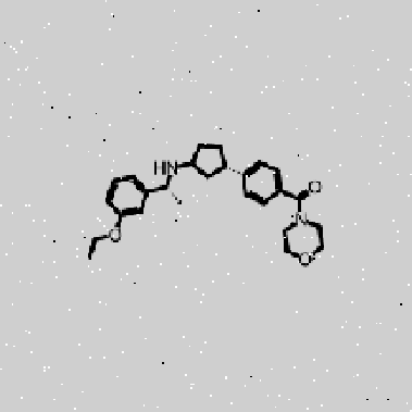 CCOc1cccc([C@@H](C)NC2CC[C@H](c3ccc(C(=O)N4CCOCC4)cc3)C2)c1